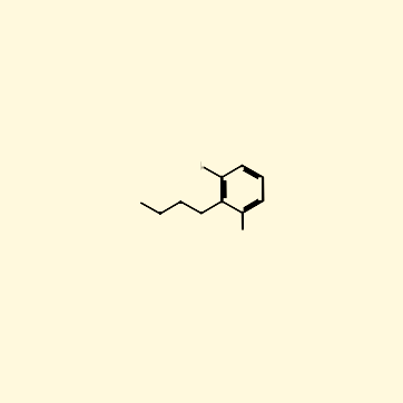 CCC[CH]c1c(I)cccc1I